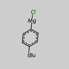 CC(C)(C)c1cc[c]([Mg][Cl])cc1